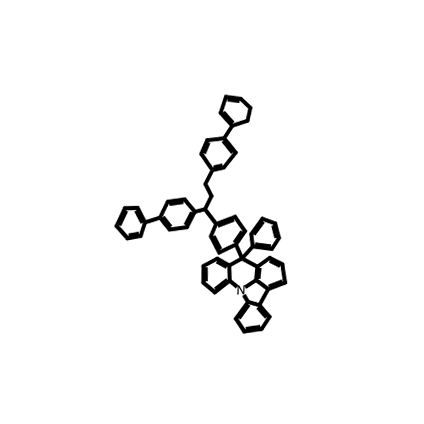 C1=CCCC(c2ccc(CCC(c3ccc(-c4ccccc4)cc3)c3ccc(C4(c5ccccc5)c5ccccc5-n5c6ccccc6c6cccc4c65)cc3)cc2)=C1